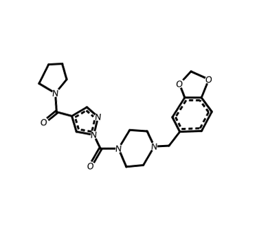 O=C(c1cnn(C(=O)N2CCN(Cc3ccc4c(c3)OCO4)CC2)c1)N1CCCC1